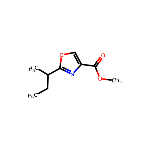 CCC(C)c1nc(C(=O)OC)co1